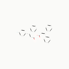 O=C(C=C(c1ccc(F)cc1)c1ccc(F)cc1)OC(=O)C=C(c1ccc(F)cc1)c1ccc(F)cc1